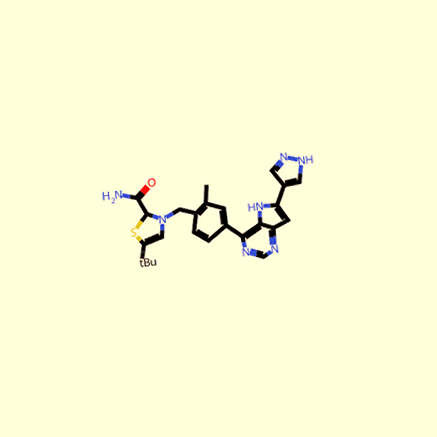 Cc1cc(-c2ncnc3cc(-c4cn[nH]c4)[nH]c23)ccc1CN1C=C(C(C)(C)C)SC1C(N)=O